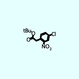 CC(C)(C)OC(=O)Cc1ccc(Cl)cc1[N+](=O)[O-]